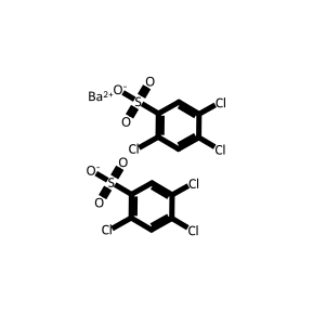 O=S(=O)([O-])c1cc(Cl)c(Cl)cc1Cl.O=S(=O)([O-])c1cc(Cl)c(Cl)cc1Cl.[Ba+2]